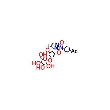 CC(=O)c1ccc(-n2c(=O)n3n(c2=O)C2C(=CC3)C(C)(C)Oc3cc(O[C@@H]4O[C@H](CO)[C@H](O)[C@H](O)[C@H]4O)ccc32)cc1